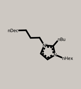 CCCCCCCCCCCCC[n+]1ccn(CCCCCC)c1CCCC